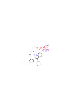 COc1ccc2c(c1)C1CC1(C(=O)N1CCC(C)(O)CC1)Cn1c-2c(C2CCCCC2)c2ccc(C(=O)NS(=O)(=O)N3CCC3)cc21